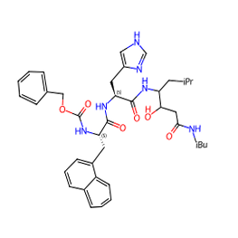 CCC(C)NC(=O)CC(O)C(CC(C)C)NC(=O)[C@H](Cc1c[nH]cn1)NC(=O)[C@H](Cc1cccc2ccccc12)NC(=O)OCc1ccccc1